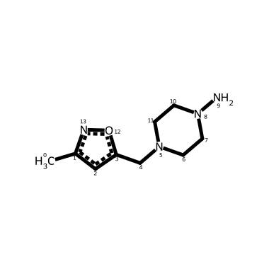 Cc1cc(CN2CCN(N)CC2)on1